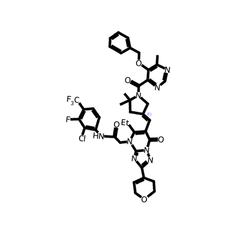 CCc1c(/C=C2/CN(C(=O)c3ncnc(C)c3OCc3ccccc3)C(C)(C)C2)c(=O)n2nc(C3=CCOCC3)nc2n1CC(=O)Nc1ccc(C(F)(F)F)c(F)c1Cl